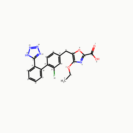 CCOc1nc(C(=O)O)oc1Cc1ccc(-c2ccccc2-c2nnn[nH]2)c(F)c1